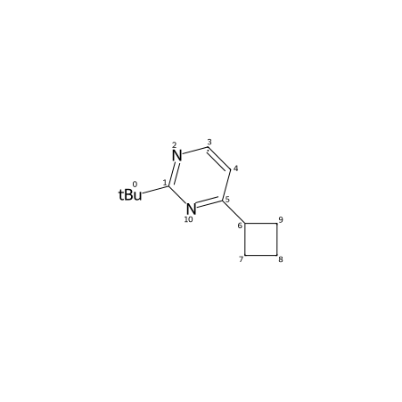 CC(C)(C)c1n[c]cc(C2CCC2)n1